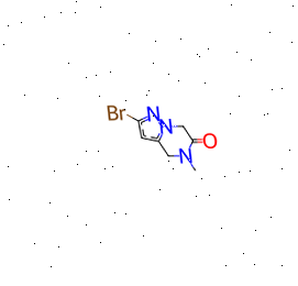 CN1Cc2cc(Br)nn2CC1=O